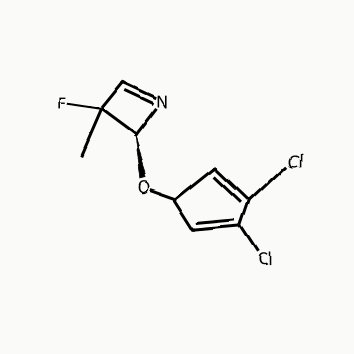 CC1(F)C=N[C@H]1OC1C=C(Cl)C(Cl)=C1